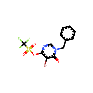 O=c1c(Br)c(OS(=O)(=O)C(F)(F)F)ncn1Cc1ccccc1